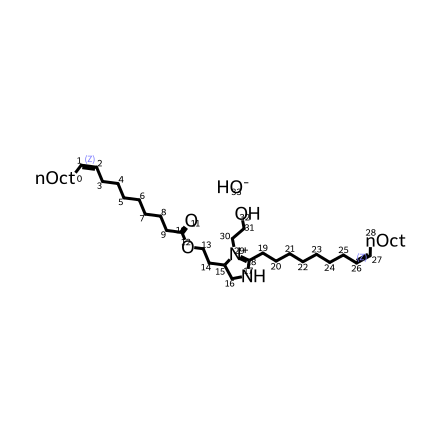 CCCCCCCC/C=C\CCCCCCCC(=O)OCCC1CNC(CCCCCCC/C=C\CCCCCCCC)=[N+]1CCO.[OH-]